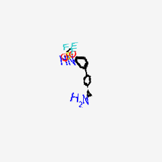 N[C@@H]1C[C@H]1c1ccc(-c2cccc(NS(=O)(=O)CC(F)(F)F)c2)cc1